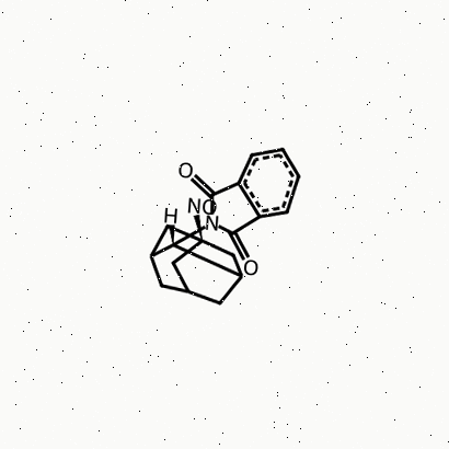 O=N[C@]12CC3CC(C1)[C@@H](N1C(=O)c4ccccc4C1=O)C(C3)C2